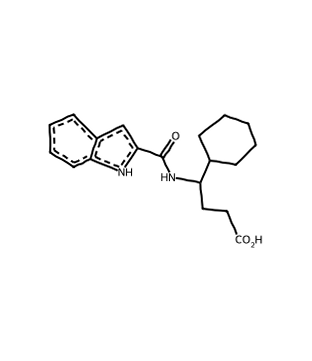 O=C(O)CCC(NC(=O)c1cc2ccccc2[nH]1)C1CCCCC1